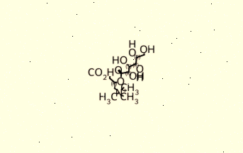 C[N+](C)(C)C[C@@H](CC(=O)O)OC(=O)[C@H](O)[C@@H](O)[C@H](O)[C@H](O)CO